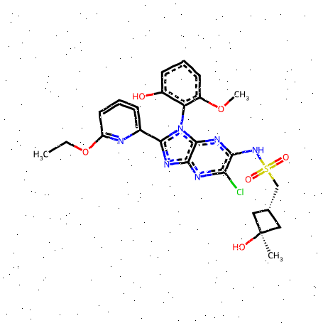 CCOC1=NC(c2nc3nc(Cl)c(NS(=O)(=O)C[C@H]4C[C@](C)(O)C4)nc3n2-c2c(O)cccc2OC)=C=C=C1